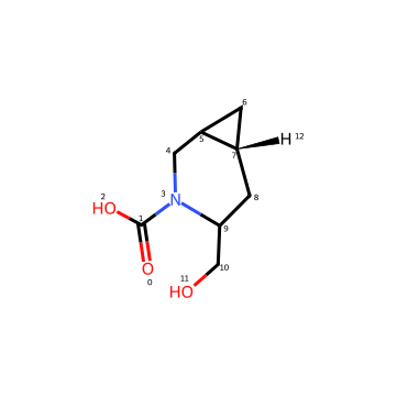 O=C(O)N1CC2C[C@@H]2CC1CO